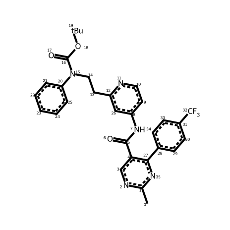 Cc1ncc(C(=O)Nc2ccnc(CCN(C(=O)OC(C)(C)C)c3ccccc3)c2)c(-c2ccc(C(F)(F)F)cc2)n1